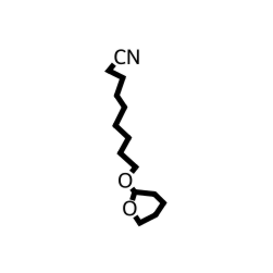 N#CCCCCCCCCOC1CCCCO1